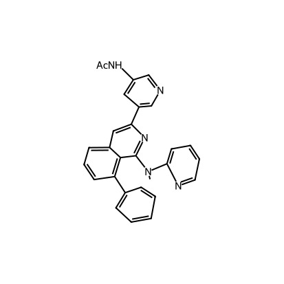 CC(=O)Nc1cncc(-c2cc3cccc(-c4ccccc4)c3c(N(C)c3ccccn3)n2)c1